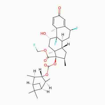 C[C@@H]1[C@@H](OC(=O)O[C@]2(C(=O)OCF)[C@H](C)C[C@H]3[C@@H]4C[C@H](F)C5=CC(=O)C=C[C@]5(C)[C@@]4(F)[C@@H](O)C[C@@]32C)[C@H](C)[C@H]2C[C@@H]1C2(C)C